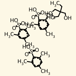 CCC(CO)(CO)CO.Cc1cc(C)c(S(=O)(=O)O)c(C)c1.Cc1cc(C)c(S(=O)(=O)O)c(C)c1.Cc1cc(C)c(S(=O)(=O)O)c(C)c1